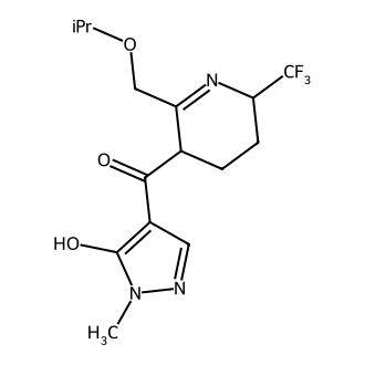 CC(C)OCC1=NC(C(F)(F)F)CCC1C(=O)c1cnn(C)c1O